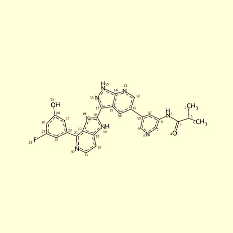 CC(C)C(=O)Nc1cncc(-c2cnc3[nH]nc(-c4nc5c(-c6cc(O)cc(F)c6)nccc5[nH]4)c3c2)c1